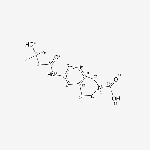 CC(C)(O)CC(=O)Nc1ccc2c(c1)CCN(C(=O)O)C2